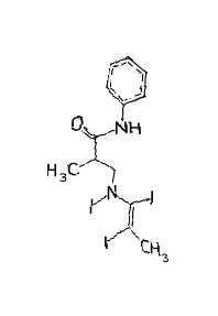 C/C(I)=C(\I)N(I)CC(C)C(=O)Nc1ccccc1